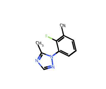 Cc1ncnn1-c1cccc(C#N)c1F